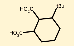 CC(C)(C)C1CCCC(C(=O)O)C1C(=O)O